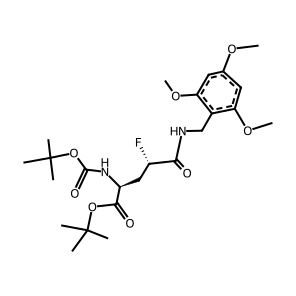 COc1cc(OC)c(CNC(=O)[C@@H](F)C[C@H](NC(=O)OC(C)(C)C)C(=O)OC(C)(C)C)c(OC)c1